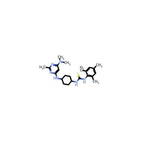 Cc1cc(C)c(NC(=S)NC2CCC(Nc3cc(N(C)C)nc(C)n3)CC2)c(C)c1